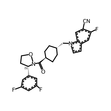 N#Cc1cc2c(ccn2C[C@H]2CC[C@H](C(=O)N3OCC[C@H]3c3cc(F)cc(F)c3)CC2)cc1F